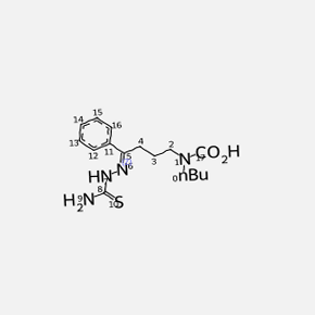 CCCCN(CCC/C(=N/NC(N)=S)c1ccccc1)C(=O)O